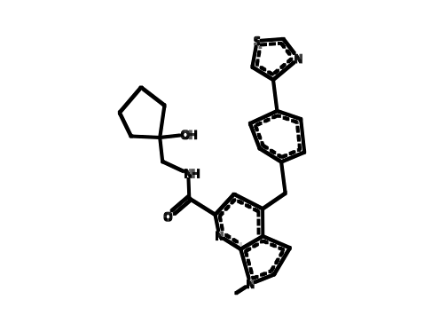 Cn1ccc2c(Cc3ccc(-c4cscn4)cc3)cc(C(=O)NCC3(O)CCCC3)nc21